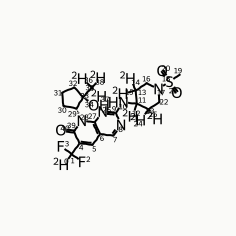 [2H]C(F)(F)c1cc2cnc(NC3([2H])C([2H])([2H])CN(S(C)(=O)=O)CC3([2H])[2H])nc2n([C@@H]2CCC[C@]2(O)C([2H])([2H])[2H])c1=O